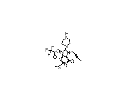 CC#CCN1c2c(nc(SC)n(C)c2=O)N(OC(=O)C(F)(F)F)C1N1CCNCC1